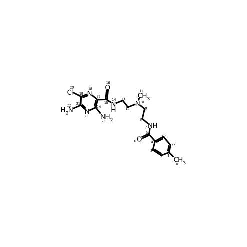 Cc1ccc(C(=O)NCCN(C)CCNC(=O)c2nc(Cl)c(N)nc2N)cc1